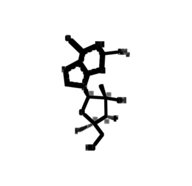 C[C@]1(O)[C@H](n2cnc3c(=O)[nH]c(N)nc32)O[C@](F)(CO)[C@H]1F